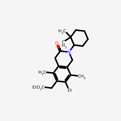 CCOC(=O)Cc1c(C)c2c(c(C)c1CC)CN(C1CCCCC1(C)C)C(=O)C2